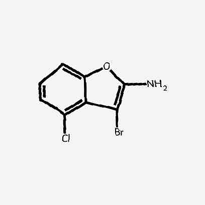 Nc1oc2cccc(Cl)c2c1Br